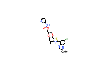 COc1cnc2c(-c3nc4c(C)cc5c(c4s3)OCC(COC(=O)Nc3cccnc3)O5)cc(Cl)cc2n1